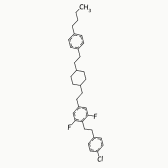 CCCCc1ccc(CCC2CCC(CCc3cc(F)c(CCc4ccc(Cl)cc4)c(F)c3)CC2)cc1